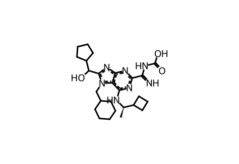 C[C@@H](Nc1nc(C(=N)NC(=O)O)nc2nc(C(O)C3CCCC3)n(CC3CCCCC3)c12)C1CCC1